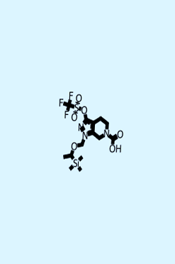 CC(OCn1nc(OS(=O)(=O)C(F)(F)F)c2c1CN(C(=O)O)CC2)[Si](C)(C)C